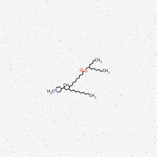 C=C(CC(CCCCCCCCC)CCCCCCCCC(=O)OCC(CCCC)CCCCCC)C1CCN(C)CC1